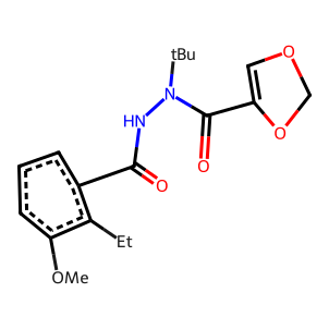 CCc1c(OC)cccc1C(=O)NN(C(=O)C1=COCO1)C(C)(C)C